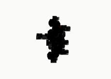 CN[C@@H](C)C(=O)NC1CN(C(=O)c2ccc(C(=O)N3CC(NC(=O)[C@H](C)NC)C(=O)N(Cc4c(OC)ccc5c(Br)cccc45)c4ccccc43)cc2)c2ccccc2N(Cc2c(OC)ccc3c(Br)cccc23)C1=O